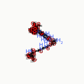 CC(=O)N[C@H]1[C@H](OCCCCC(=O)NCCCNC(=O)/C=C/OC[C@H]2OC[C@H](N)[C@@H](O/C=C/C(=O)NCCCNC(=O)CCCCO[C@@H]3O[C@H](COC(C)=O)[C@H](OC(C)=O)[C@H](OC(C)=O)[C@H]3NC(C)=O)[C@@H]2O/C=C/C(=O)NCCCNC(=O)CCCCO[C@@H]2O[C@H](COC(C)=O)[C@H](OC(C)=O)[C@H](OC(C)=O)[C@H]2NC(C)=O)O[C@H](COC(C)=O)[C@H](OC(C)=O)[C@@H]1OC(C)=O